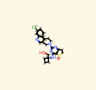 [O-][S@+]1CCc2nc(N3CCc4c(cnc5cc(Cl)ccc45)C3)nc(NC3(CO)CCC3)c21